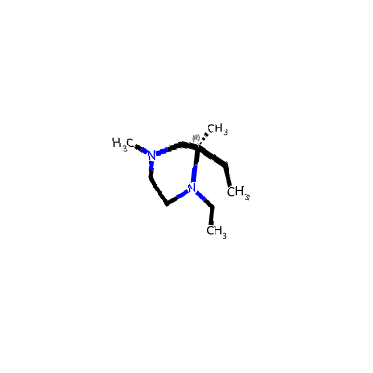 CCN1CCN(C)C[C@@]1(C)CC